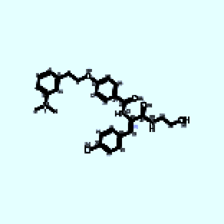 CN(C)c1cccc(CCOc2ccc(C(=O)N/C(=C\c3ccc(Cl)cc3)C(=O)NCCO)cc2)c1